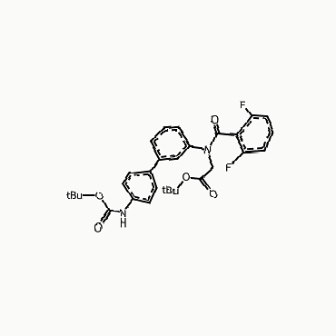 CC(C)(C)OC(=O)CN(C(=O)c1c(F)cccc1F)c1cccc(-c2ccc(NC(=O)OC(C)(C)C)cc2)c1